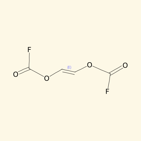 O=C(F)O/C=C/OC(=O)F